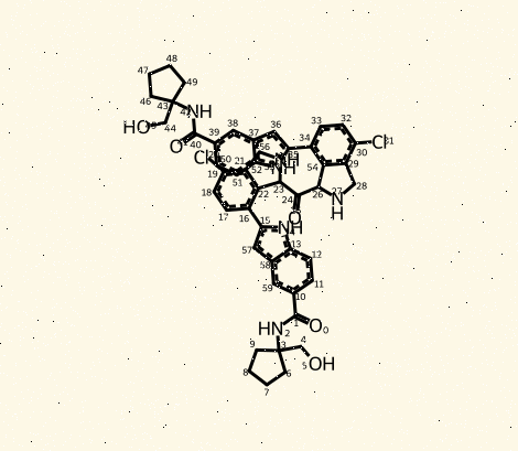 O=C(NC1(CO)CCCC1)c1ccc2[nH]c(-c3ccc(Cl)c4c3C(C(=O)C3NCc5c(Cl)ccc(-c6cc7cc(C(=O)NC8(CO)CCCC8)ccc7[nH]6)c53)NC4)cc2c1